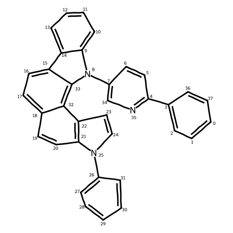 c1ccc(-c2ccc(-n3c4ccccc4c4ccc5ccc6c(ccn6-c6ccccc6)c5c43)cn2)cc1